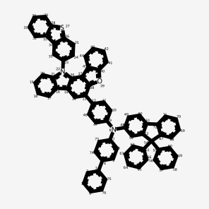 c1ccc(-c2ccc(N(c3ccc(-c4cc5c6ccccc6n(-c6ccc7sc8ccccc8c7c6)c5c5c4oc4ccccc45)cc3)c3ccc4c(c3)C(c3ccccc3)(c3ccccc3)c3ccccc3-4)cc2)cc1